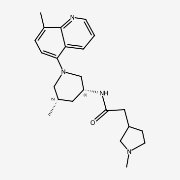 Cc1ccc(N2C[C@@H](C)C[C@@H](NC(=O)CC3CCN(C)C3)C2)c2cccnc12